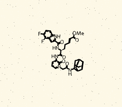 COC(=O)/C=C/CC[C@H](NC(=O)c1cc2c(F)c(F)ccc2[nH]1)C(=O)Nc1cccn(CC(=O)NC2C3CC4CC(C3)CC2C4)c1=O